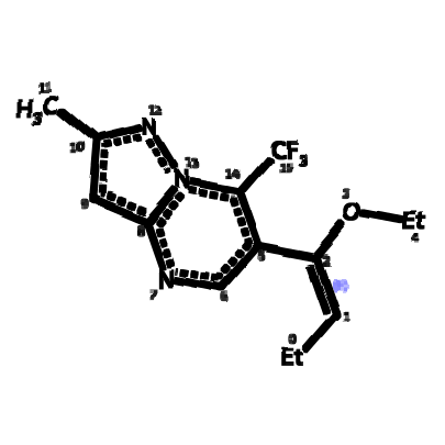 CC/C=C(/OCC)c1cnc2cc(C)nn2c1C(F)(F)F